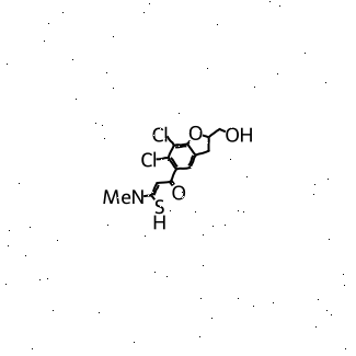 CNC(S)=CC(=O)c1cc2c(c(Cl)c1Cl)OC(CO)C2